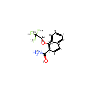 NC(=O)c1ccc2ccccc2c1OCC(F)(F)F